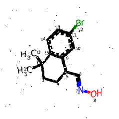 CC1(C)CCC(C=NO)c2cc(Br)ccc21